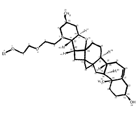 CCOCCOCCN1C[C@@H](C)C[C@H]2OC34CC[C@H]5[C@@H]6CC=C7C[C@@H](O)CC[C@]7(C)[C@H]6CC56CC63C[C@@H]4[C@@H]21